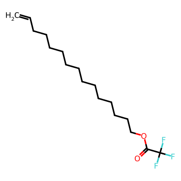 C=CCCCCCCCCCCCCCOC(=O)C(F)(F)F